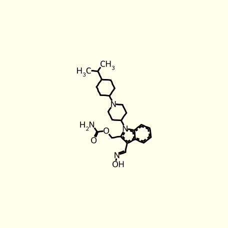 CC(C)C1CCC(N2CCC(n3c(COC(N)=O)c(C=NO)c4ccccc43)CC2)CC1